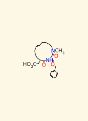 CN1CCCC/C=C/CCC[C@H](CC(=O)O)C(=O)N[C@@H](COCc2ccccc2)C1=O